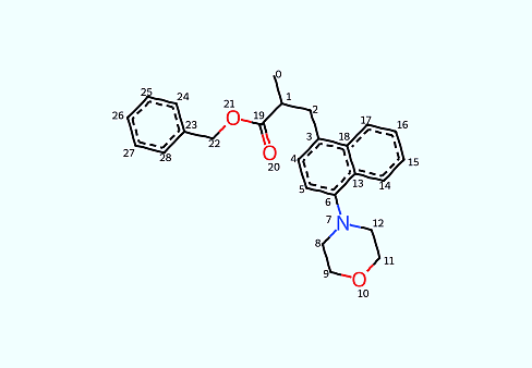 CC(Cc1ccc(N2CCOCC2)c2ccccc12)C(=O)OCc1ccccc1